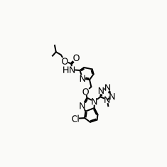 CC(C)COC(=O)Nc1cccc(COc2nc3c(Cl)cccc3n2-c2nnnn2C)n1